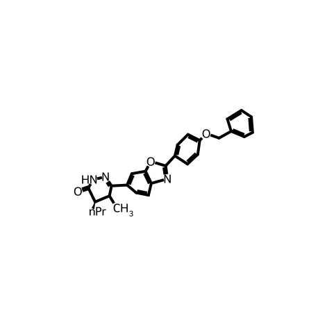 CCC[C@H]1C(=O)NN=C(c2ccc3nc(-c4ccc(OCc5ccccc5)cc4)oc3c2)C1C